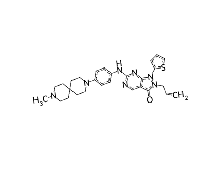 C=CCn1c(=O)c2cnc(Nc3ccc(N4CCC5(CCN(C)CC5)CC4)cc3)nc2n1-c1cccs1